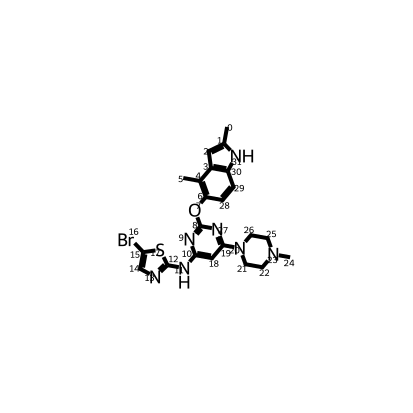 Cc1cc2c(C)c(Oc3nc(Nc4ncc(Br)s4)cc(N4CCN(C)CC4)n3)ccc2[nH]1